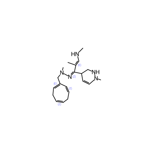 CN/C=C(C)/C(=N\N(C)CC1=C/C/C=C\C/C=C\1)C1C=CN(C)NC1